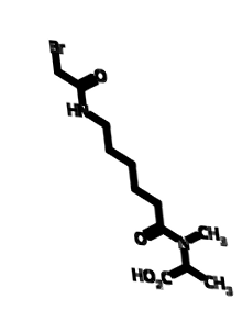 CC(C(=O)O)N(C)C(=O)CCCCCNC(=O)CBr